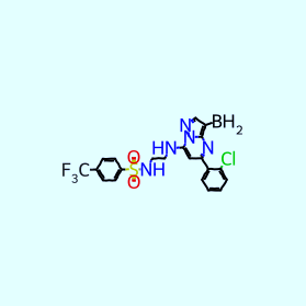 Bc1cnn2c(NCCNS(=O)(=O)c3ccc(C(F)(F)F)cc3)cc(-c3ccccc3Cl)nc12